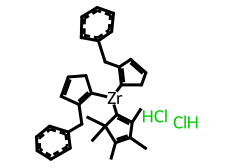 CC1=C(C)C(C)(C)[C]([Zr]([C]2=C(Cc3ccccc3)C=CC2)[C]2=C(Cc3ccccc3)C=CC2)=C1C.Cl.Cl